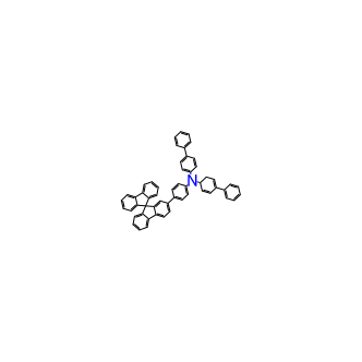 C1=CC(N(c2ccc(-c3ccccc3)cc2)c2ccc(-c3ccc4c(c3)C3(c5ccccc5-c5ccccc53)c3ccccc3-4)cc2)CC=C1c1ccccc1